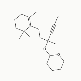 [CH2]C#CC(C)(CCC1=C(C)CCCC1(C)C)OC1CCCCO1